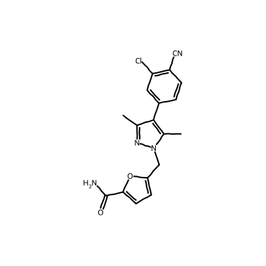 Cc1nn(Cc2ccc(C(N)=O)o2)c(C)c1-c1ccc(C#N)c(Cl)c1